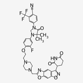 CC1(C)C(=O)N(c2ccc(C#N)c(C(F)(F)F)c2)CN1c1ccc(OCCN2CCN(Cc3nc4cc5c(C6CCC(=O)NC6=O)noc5cc4o3)CC2)c(F)c1